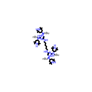 CCCCN(C1=NC(NCCCCCCNC2=CN(N(CCCC)C3CC(C)(C)NC(C)(C)C3)NC(N(CCCC)C3CC(C)(C)NC(C)(C)C3)=N2)=CN(N(CCCC)C2CC(C)(C)NC(C)(C)C2)N1)C1CC(C)(C)NC(C)(C)C1